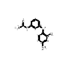 NC(=O)Oc1cccc(Oc2ccc(N)cc2Cl)c1